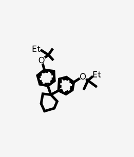 CCC(C)(C)Oc1ccc(C2(c3ccc(OC(C)(C)CC)cc3)CCCCC2)cc1